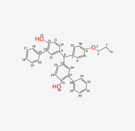 CCCOc1ccc(C(c2ccc(O)c(-c3ccccc3)c2)c2ccc(O)c(-c3ccccc3)c2)cc1